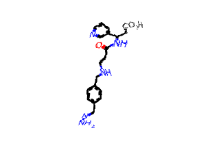 NN=Cc1ccc(CNCCC(=O)NC(CC(=O)O)c2cccnc2)cc1